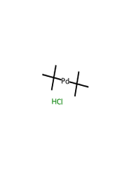 C[C](C)(C)[Pd][C](C)(C)C.Cl